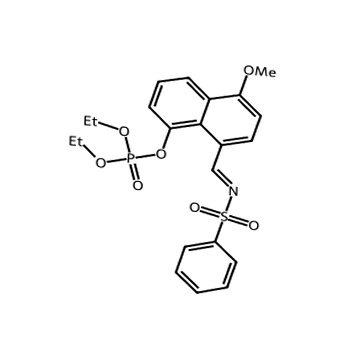 CCOP(=O)(OCC)Oc1cccc2c(OC)ccc(C=NS(=O)(=O)c3ccccc3)c12